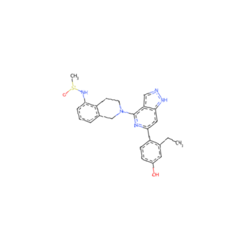 CCc1cc(O)ccc1-c1cc2[nH]ncc2c(N2CCc3c(cccc3N[S+](C)[O-])C2)n1